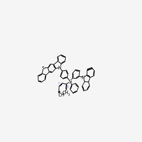 C#C/C=C\C(=C/C)[Si](c1ccccc1)(c1ccc(-n2c3ccccc3c3cc4sc5ccccc5c4cc32)cc1)c1cccc(N2c3c#cccc3C3C=CC=CC32)c1